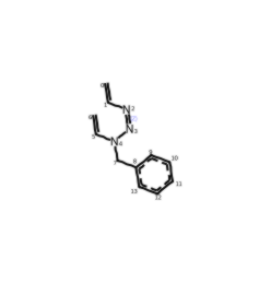 C=C/N=N\N(C=C)Cc1ccccc1